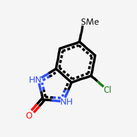 CSc1cc(Cl)c2[nH]c(=O)[nH]c2c1